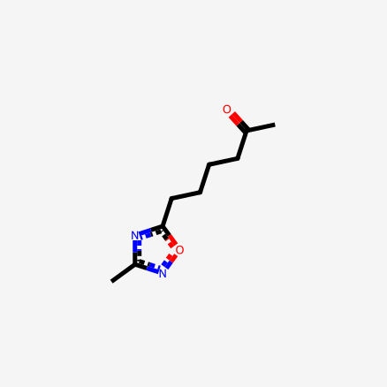 CC(=O)CCCCc1nc(C)no1